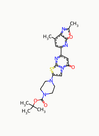 Cc1nc2c(C)cc(-c3cc(=O)n4cc(N5CCN(C(=O)OC(C)(C)C)CC5)sc4n3)nc2o1